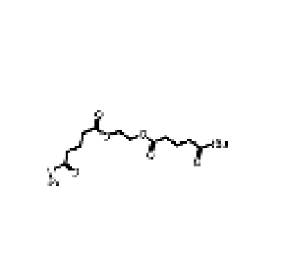 CC(C)OC(=O)CCCC(=O)OCCOC(=O)CCCC(=O)C(C)(C)C